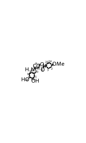 COc1ccc(C(=O)O[C@@H](C)CC(N)(Cc2ccc(O)c(O)c2)C(=O)O)cc1